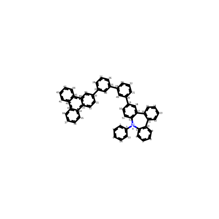 c1ccc(N2c3ccccc3-c3ccccc3-c3cc(-c4cccc(-c5cccc(-c6ccc7c8ccccc8c8ccccc8c7c6)c5)c4)ccc32)cc1